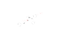 Oc1ccc2c(c1)CC[C@@H]1C[C@@](O)(CC#Cc3ccccc3)CC[C@@]21Cc1ccccc1